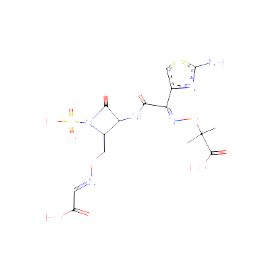 CC(C)(O/N=C(/C(=O)NC1C(=O)N(S(=O)(=O)O)C1CO/N=C/C(=O)O)c1csc(N)n1)C(=O)O